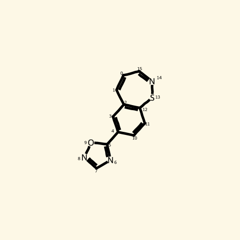 C1=Cc2cc(-c3ncno3)ccc2SN=C1